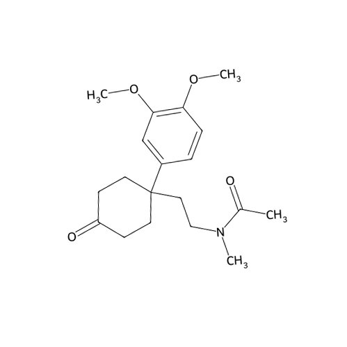 COc1ccc(C2(CCN(C)C(C)=O)CCC(=O)CC2)cc1OC